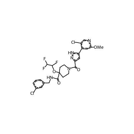 COc1cc(-c2cc(C(=O)N3CCC(OC(F)C(F)F)(C(=O)NCc4cccc(Cl)c4)CC3)n[nH]2)c(Cl)cn1